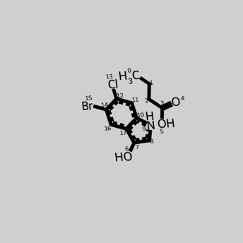 CCCC(=O)O.Oc1c[nH]c2cc(Cl)c(Br)cc12